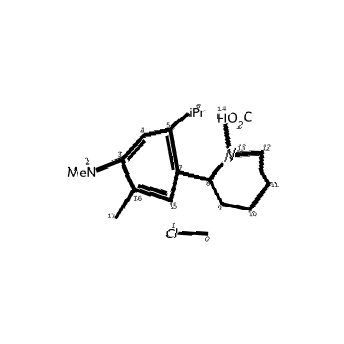 CCl.CNc1cc(C(C)C)c(C2CCCCN2C(=O)O)cc1C